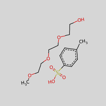 COCCOCCOCCO.Cc1ccc(S(=O)(=O)O)cc1